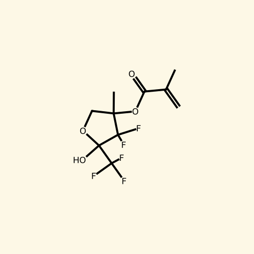 C=C(C)C(=O)OC1(C)COC(O)(C(F)(F)F)C1(F)F